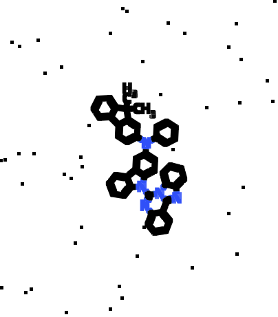 CC1(C)c2ccccc2-c2ccc(N(c3ccccc3)c3ccc4c(c3)c3ccccc3n4-c3nc4ccccc4c4nc5ccccc5n34)cc21